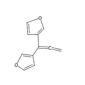 C=C=C(c1ccoc1)c1ccoc1